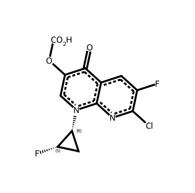 O=C(O)Oc1cn([C@@H]2C[C@@H]2F)c2nc(Cl)c(F)cc2c1=O